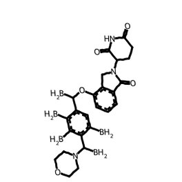 Bc1cc(C(B)Oc2cccc3c2CN(C2CCC(=O)NC2=O)C3=O)c(B)c(B)c1C(B)N1CCOCC1